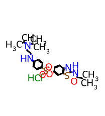 CC(C)C(=O)Nc1nc2ccc(OS(=O)(=O)c3ccc(NCCN(C(C)C)C(C)C)cc3)cc2s1.Cl